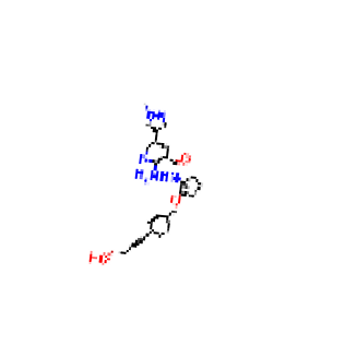 Cn1cc(-c2cnc(N)c(C(=O)N[C@H]3CCC[C@@H]3OCc3ccc(C#CCCO)cc3)c2)cn1